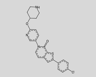 O=c1c2sc(-c3ccc(Cl)cc3)cc2ccn1-c1ccc(OC2CCNCC2)nc1